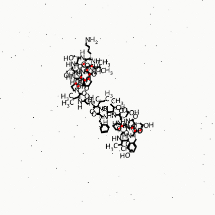 CC[C@H](C)[C@H](NC(=O)[C@H](Cc1ccccc1)NC(=O)[C@@H](NC(=O)[C@H](CC(=O)O)NC(=O)[C@H](CC(=O)O)NC(=O)[C@H](CC(=O)O)NC(=O)[C@H](Cc1ccc(O)cc1)NC(=O)[C@@H](NC(=O)[C@@H]1CCCN1)C(C)C)[C@@H](C)CC)C(=O)NCC(=O)N[C@H](C(=O)N1CCC[C@H]1C(=O)NCC(=O)N[C@H](C(=O)N[C@@H](CCCCN)C(=O)N[C@@H](CO)C(=O)N[C@@H](CO)C(=O)N[C@@H](CO)C(=O)N[C@H](C(=O)N1CCC[C@H]1C(=O)O)C(C)C)C(C)C)C(C)C